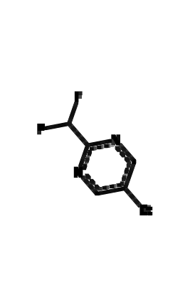 CCc1cnc(C(F)F)nc1